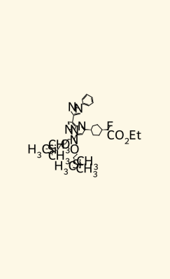 CCOC(=O)C(F)[C@H]1CC[C@@H](c2cc(N(COCC[Si](C)(C)C)COCC[Si](C)(C)C)n3ncc(-c4cnn(-c5ccccc5)c4)c3n2)CC1